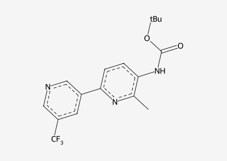 Cc1nc(-c2cncc(C(F)(F)F)c2)ccc1NC(=O)OC(C)(C)C